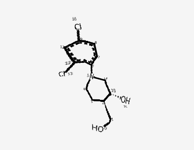 OC[C@H]1CCN(c2ccc(Cl)cc2Cl)C[C@@H]1O